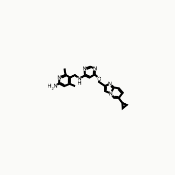 Cc1cc(N)nc(C)c1CNc1cc(OCc2cn3cc(C4CC4)ccc3n2)ncn1